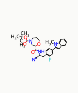 Cn1c(-c2ccc(C[C@@H](C#N)NC(=O)[C@@H]3CN(C(=O)OC(C)(C)C)CCCO3)c(F)c2)cc2ccccc21